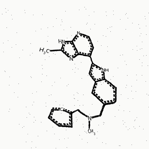 Cc1nc2c(-c3cc4cc(CN(C)Cc5ccccc5)ccc4[nH]3)ccnc2[nH]1